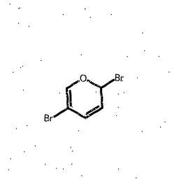 BrC1=COC(Br)C=C1